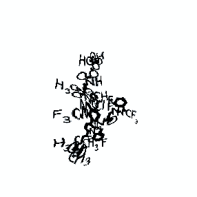 CN(CCNC(=O)OCOP(=O)(O)O)C(=O)N(c1nn(CC(F)(F)F)c2c(-c3ccc(CCC(C)(C)S(C)(=O)=O)nc3[C@H](Cc3cc(F)cc(F)c3)NC(=O)Cn3nc(C(F)(F)F)c4c3C(F)(F)CCC4)ccc(Cl)c12)S(C)(=O)=O